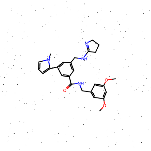 COc1cc(CNC(=O)c2cc(CNC3=NCCC3)cc(-c3cccn3C)c2)cc(OC)c1